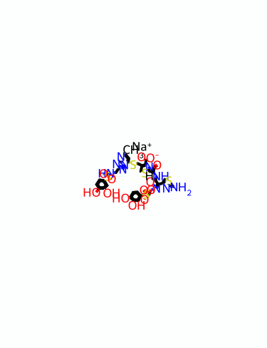 Cc1cc(SCC2=C(C(=O)[O-])N3C(=O)[C@@H](NC(=O)/C(=N\OCS(=O)(=O)c4ccc(O)c(O)c4)c4csc(N)n4)[C@H]3SC2)n2nc(CNS(=O)(=O)c3ccc(O)c(O)c3)nc2n1.[Na+]